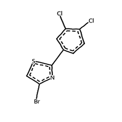 Clc1ccc(-c2nc(Br)cs2)cc1Cl